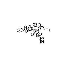 Cc1cc(-c2nc(C(=O)Nc3cc4oc(N5CCOCC5)nc4nc3N3CC=C(OC(=O)CN)C3)co2)ccn1